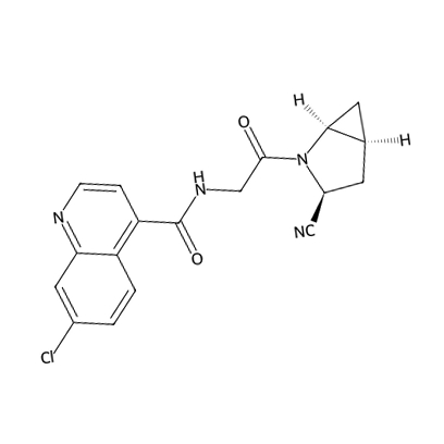 N#C[C@@H]1C[C@@H]2C[C@@H]2N1C(=O)CNC(=O)c1ccnc2cc(Cl)ccc12